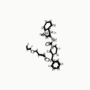 CCCOCCCO[C@@H](c1ccccc1)[C@@H]1CCCN(C(=O)NC(CNC)CC2CCCCC2)C1